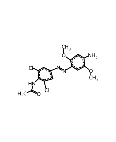 COc1cc(N=Nc2cc(Cl)c(NC(C)=O)c(Cl)c2)c(OC)cc1N